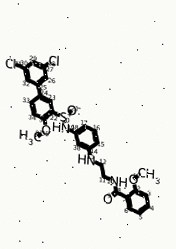 COc1ccccc1C(=O)NCCNc1cccc(N[S+]([O-])c2cc(-c3cc(Cl)cc(Cl)c3)ccc2OC)c1